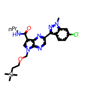 CCCNC(=O)c1cn(COCC[Si](C)(C)C)c2ncc(-c3nn(C)c4cc(Cl)ccc34)nc12